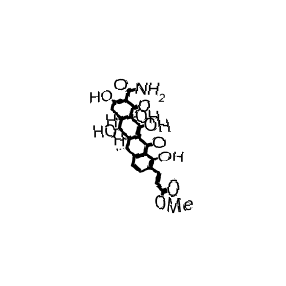 COC(=O)/C=C/c1ccc2c(c1O)C(=O)C1=C(O)[C@]3(O)C(=O)C(C(N)=O)=C(O)C[C@@H]3[C@@H](O)[C@@H]1[C@H]2C